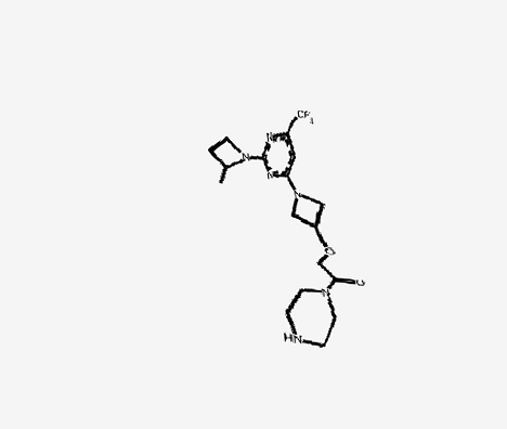 CC1CCN1c1nc(N2CC(OCC(=O)N3CCNCC3)C2)cc(C(F)(F)F)n1